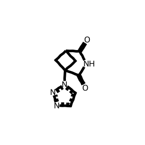 O=C1NC(=O)C2(n3ccnn3)CC1C2